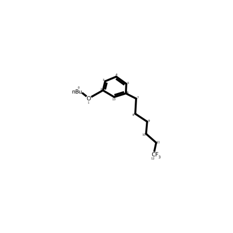 CCCCOc1cccc(CCCCCC(F)(F)F)c1